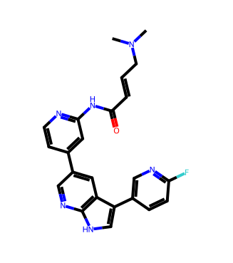 CN(C)C/C=C/C(=O)Nc1cc(-c2cnc3[nH]cc(-c4ccc(F)nc4)c3c2)ccn1